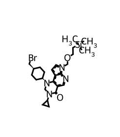 C[Si](C)(C)CCOCn1ccc2c3c(cnc21)C(=O)N(C1CC1)CN3[C@H]1CC[C@H](CBr)CC1